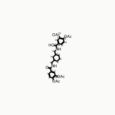 CC(=O)Oc1ccc(C(=O)NCC2CCCC(CNC(O)c3ccc(OC(C)=O)c(OC(C)=O)c3)C2)cc1OC(C)=O